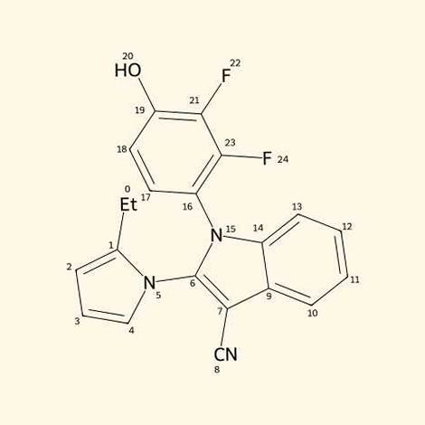 CCc1cccn1-c1c(C#N)c2ccccc2n1-c1ccc(O)c(F)c1F